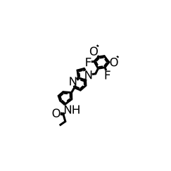 CCC(=O)Nc1cccc(-c2ccc3c(ccn3Cc3c(F)c(OC)cc(OC)c3F)n2)c1